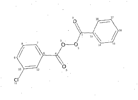 O=C(OOC(=O)c1cccc(Cl)c1)c1ccccc1